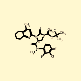 Cc1cc(N2C(=O)N(C(=O)OC(C)(C)C)C[C@H]2C(=O)N(C)c2ccc(F)c(Cl)c2F)nc2c1CCCC2